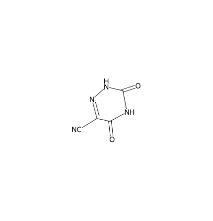 N#Cc1n[nH]c(=O)[nH]c1=O